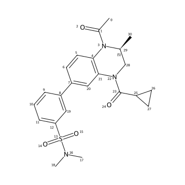 CC(=O)N1c2ccc(-c3cccc(S(=O)(=O)N(C)C)c3)cc2N(C(=O)C2CC2)C[C@@H]1C